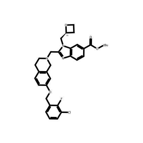 CC(C)(C)OC(=O)c1ccc2nc(CN3CCc4ccc(OCc5cccc(Cl)c5F)cc4C3)n(C[C@@H]3CCO3)c2c1